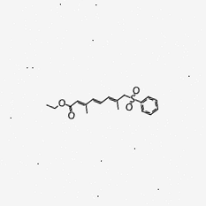 CCOC(=O)/C=C(C)/C=C/C=C(\C)CS(=O)(=O)c1ccccc1